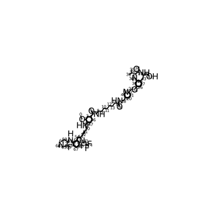 COc1cc(C(=O)NCCCCCCCC(=O)NCc2ccc(COc3ccc4c(c3)N(C)[C@H](C(C)C)C(=O)N[C@@H](CO)C4)nc2)ccc1NCC#Cc1cc2c(N[C@@H]3CCN(C)C[C@@H]3F)cccc2n1CC(F)(F)F